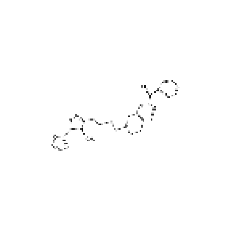 Cn1c(SCCCN2CCc3ccc(C(=O)c4ccccc4)cc3C2)nnc1-c1ccco1